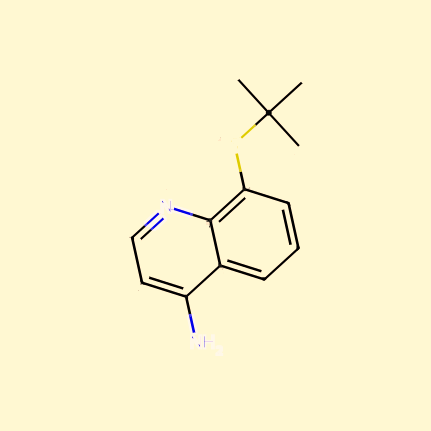 CC(C)(C)Sc1cccc2c(N)ccnc12